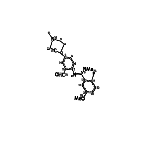 CN/C(=N\c1ccc(C2CCN(C)CC2)cc1C=O)c1cc(OC)ccc1F